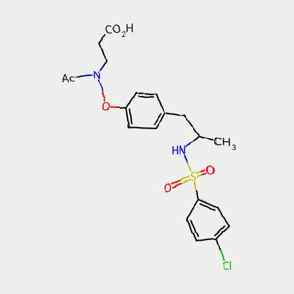 CC(=O)N(CCC(=O)O)Oc1ccc(CC(C)NS(=O)(=O)c2ccc(Cl)cc2)cc1